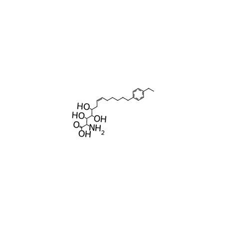 CCc1ccc(CCCCC/C=C\CC(O)C(O)C(O)C(N)C(=O)O)cc1